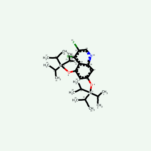 CC(C)[Si](Oc1cc(O[Si](C(C)C)(C(C)C)C(C)C)c2c(Br)c(F)cnc2c1)(C(C)C)C(C)C